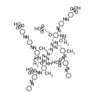 CCCOc1cc(N=Nc2ccc(N=Nc3ccccc3)cc2S(=O)(=O)O)c(C)cc1Nc1nc(Nc2ccc(N=Nc3ccc(N=Nc4ccc(S(=O)(=O)O)cc4)cc3)c(C)c2)nc(N2CCN(c3nc(Cc4ccc(N=Nc5ccc(N=Nc6ccccc6)cc5S(=O)(=O)O)c(C)c4)nc(Cc4cc(NC(C)=O)c(N=Nc5ccc(N=Nc6ccc(S(=O)(=O)O)cc6)cc5)cc4OCCCS(=O)(=O)O)n3)CC2)n1